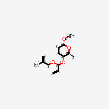 C=C[C@@H](OCC(=C)CC)O[C@@H]1CC[C@H](OC(C)C)O[C@H]1C